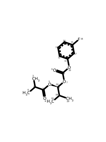 CC(C)C(=O)O[C@@H](OC(=O)Oc1cccc(F)c1)C(C)C